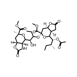 CCC(O[C@]1(C(=O)OC)C[C@H]2OC(=O)C[C@H]2C([C@H](OC(C)=O)[C@H](C)CC)O1)[C@@H](O)C1O[C@](C)(C(=O)OC)C[C@H]2OC(=O)N[C@@H]12